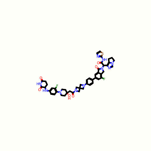 O=C1CCC(Nc2ccc(N3CCC(O)(CC(=O)N4CC5(C4)CN(c4ccc(-c6cc(F)c7c(c6)C(=O)N(C(C(=O)Nc6nccs6)c6ncn8c6CCC8)C7)cc4)C5)CC3)c(F)c2)C(=O)N1